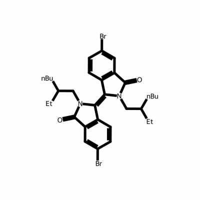 CCCCC(CC)CN1C(=O)c2cc(Br)ccc2C1=C1c2ccc(Br)cc2C(=O)N1CC(CC)CCCC